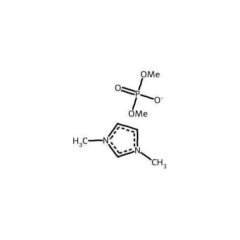 COP(=O)([O-])OC.Cn1cc[n+](C)c1